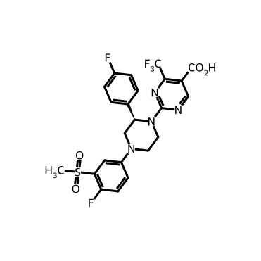 CS(=O)(=O)c1cc(N2CCN(c3ncc(C(=O)O)c(C(F)(F)F)n3)[C@H](c3ccc(F)cc3)C2)ccc1F